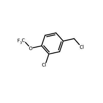 FC(F)(F)Oc1ccc(CCl)cc1Cl